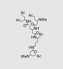 CNC(CCC(C)=O)CC(=O)NCCCC(CC(C)=O)NC(=O)CC(CCC(=O)NC(CCC(C)=O)CC(C)=O)NC(=O)CC(CCC(C)=O)NC